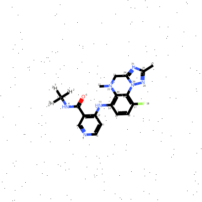 [2H]C([2H])([2H])NC(=O)c1cnccc1Nc1ccc(F)c2c1N(C)Cc1nc(C)nn1-2